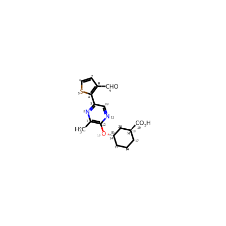 Cc1nc(-c2sccc2C=O)cnc1O[C@H]1CCC[C@H](C(=O)O)C1